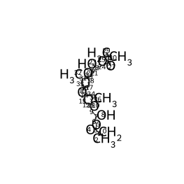 C=C(C)C(=O)OCC(O)COc1ccc(Oc2ccc(OCC(O)COC(=O)C(=C)C)c(C)c2)cc1C